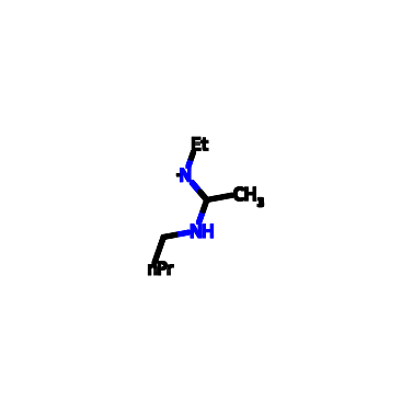 CCCCNC(C)[N]CC